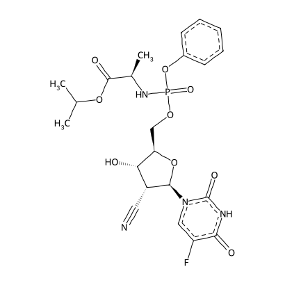 CC(C)OC(=O)[C@@H](C)NP(=O)(OC[C@H]1O[C@@H](n2cc(F)c(=O)[nH]c2=O)[C@H](C#N)[C@@H]1O)Oc1ccccc1